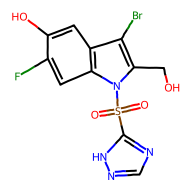 O=S(=O)(c1ncn[nH]1)n1c(CO)c(Br)c2cc(O)c(F)cc21